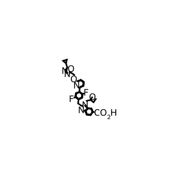 O=C(O)c1ccc2nc(Cc3cc(F)c(-c4cccc(OCc5nnc(C6CC6)o5)n4)cc3F)n(CC3CCO3)c2c1